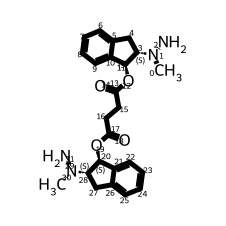 CN(N)[C@H]1Cc2ccccc2[C@@H]1OC(=O)CCC(=O)O[C@H]1c2ccccc2C[C@@H]1N(C)N